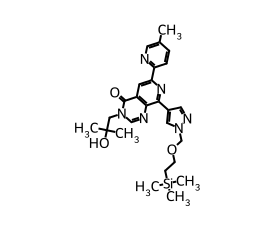 Cc1ccc(-c2cc3c(=O)n(CC(C)(C)O)cnc3c(-c3cnn(COCC[Si](C)(C)C)c3)n2)nc1